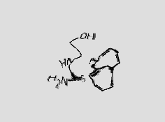 NC(=S)NCCO.c1ccc2ncccc2c1